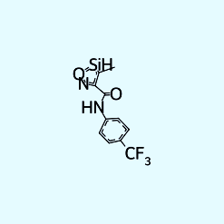 Cc1[siH]onc1C(=O)Nc1ccc(C(F)(F)F)cc1